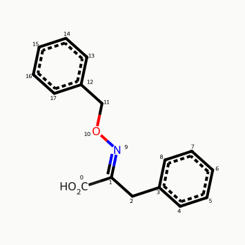 O=C(O)C(Cc1ccccc1)=NOCc1ccccc1